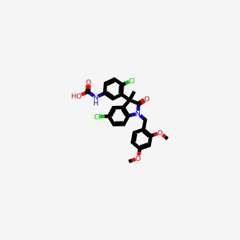 COc1ccc(CN2C(=O)C(C)(c3cc(NC(=O)O)ccc3Cl)c3cc(Cl)ccc32)c(OC)c1